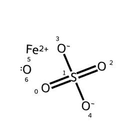 O=S(=O)([O-])[O-].[Fe+2].[O]